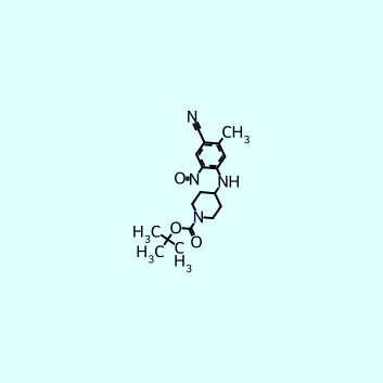 Cc1cc(NC2CCN(C(=O)OC(C)(C)C)CC2)c(N=O)cc1C#N